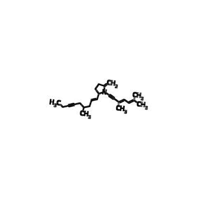 C=C1CCC(/C=C/CC(C)CC#CCC)N1C#C/C(C)=C/C=C(C)C